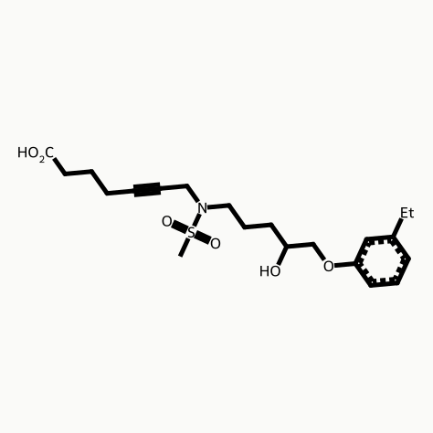 CCc1cccc(OCC(O)CCCN(CC#CCCCC(=O)O)S(C)(=O)=O)c1